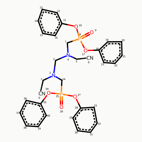 N#CCN(CN(CC#N)CP(=O)(Oc1ccccc1)Oc1ccccc1)CP(=O)(Oc1ccccc1)Oc1ccccc1